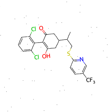 CC(CSc1ccc(C(F)(F)F)cn1)C1CC(=O)C(c2c(Cl)cccc2Cl)=C(O)C1